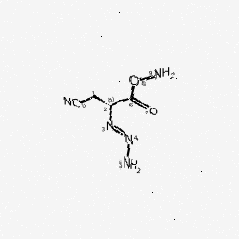 N#CC[C@H](N=NN)C(=O)ON